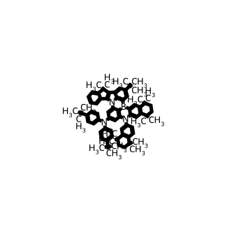 CC(C)(C)c1ccc(N(c2ccc(C(C)(C)C)cc2)c2cc3c4c(c2)-n2c5c(c6cc(C(C)(C)C)cc(c62)B4c2cc4c(cc2N3c2ccc3c(c2)C(C)(C)CCC3(C)C)C(C)(C)CCC4(C)C)C(C)(C)c2ccccc2-5)cc1